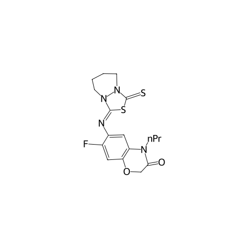 CCCN1C(=O)COc2cc(F)c(N=c3sc(=S)n4n3CCCC4)cc21